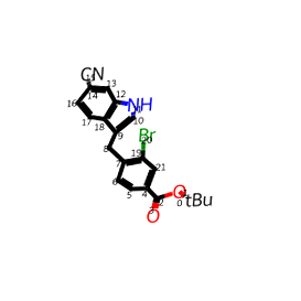 CC(C)(C)OC(=O)c1ccc(Cc2c[nH]c3cc(C#N)ccc23)c(Br)c1